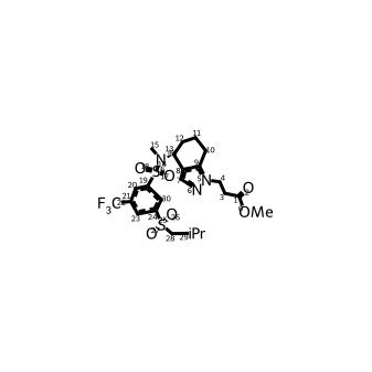 COC(=O)CCn1ncc2c1CCC[C@H]2N(C)S(=O)(=O)c1cc(C(F)(F)F)cc(S(=O)(=O)CC(C)C)c1